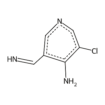 N=Cc1cncc(Cl)c1N